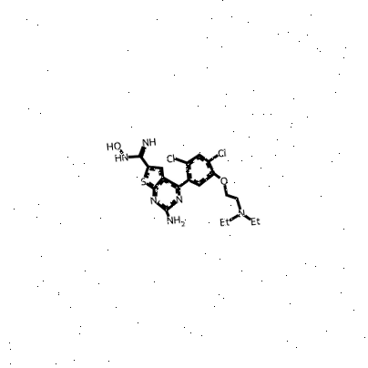 CCN(CC)CCOc1cc(-c2nc(N)nc3sc(C(=N)NO)cc23)c(Cl)cc1Cl